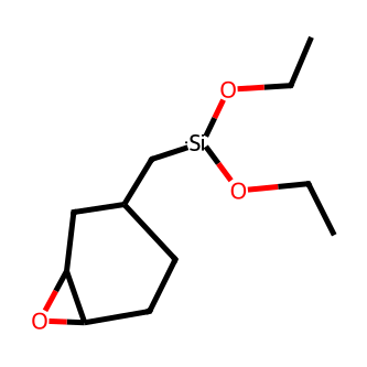 CCO[Si](CC1CCC2OC2C1)OCC